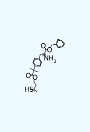 C[SiH](C)CCOC(=O)C(C)(C)c1ccc(C[C@H](N)C(=O)OCc2ccccc2)cc1